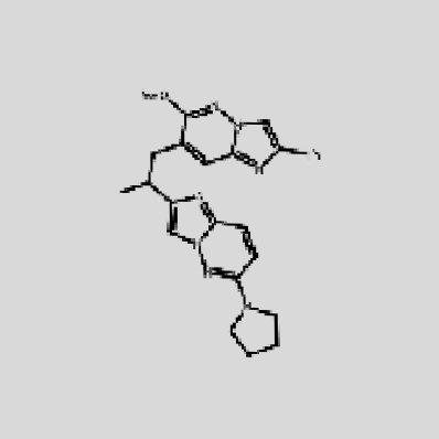 COc1nn2cc(C(C)C)nc2cc1CC(C)c1cn2nc(N3CCCC3)ccc2n1